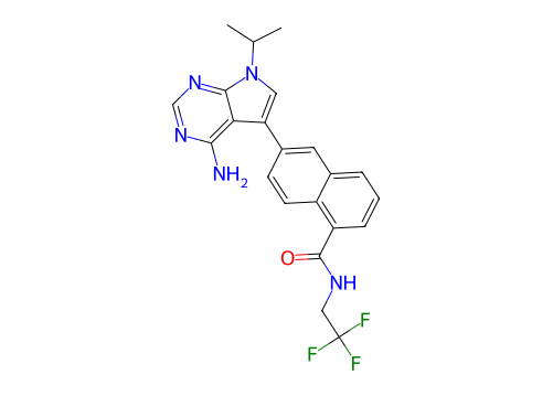 CC(C)n1cc(-c2ccc3c(C(=O)NCC(F)(F)F)cccc3c2)c2c(N)ncnc21